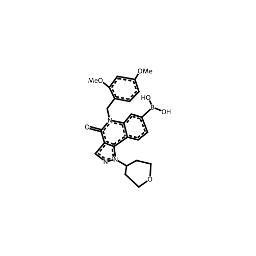 COc1ccc(Cn2c(=O)c3cnn(C4CCOCC4)c3c3ccc(B(O)O)cc32)c(OC)c1